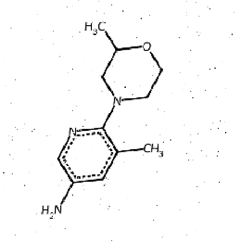 Cc1cc(N)cnc1N1CCOC(C)C1